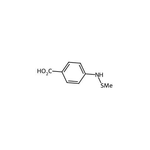 CSNc1ccc(C(=O)O)cc1